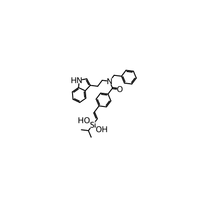 CC(C)[Si](O)(O)C=Cc1ccc(C(=O)N(CCc2c[nH]c3ccccc23)Cc2ccccc2)cc1